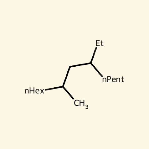 CCCCCCC(C)CC(CC)CCCCC